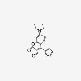 CCN(CC)c1ccc2c(-c3cccs3)c(C=O)c(=O)oc2c1